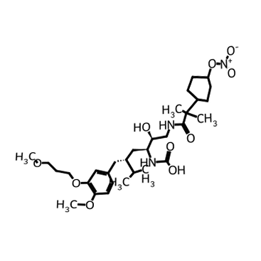 COCCCOc1cc(C[C@H](C[C@H](NC(=O)O)[C@@H](O)CNC(=O)C(C)(C)C2CCC(O[N+](=O)[O-])CC2)C(C)C)ccc1OC